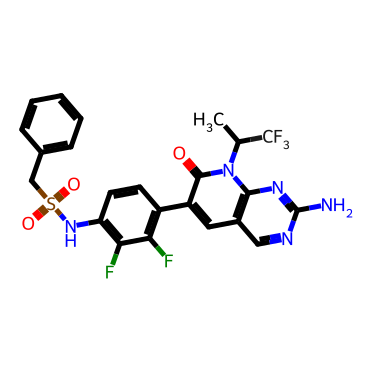 CC(n1c(=O)c(-c2ccc(NS(=O)(=O)Cc3ccccc3)c(F)c2F)cc2cnc(N)nc21)C(F)(F)F